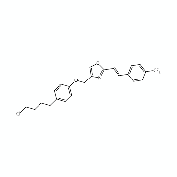 FC(F)(F)c1ccc(C=Cc2nc(COc3ccc(CCCCCl)cc3)co2)cc1